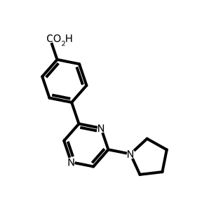 O=C(O)c1ccc(-c2cncc(N3CCCC3)n2)cc1